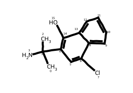 CC(C)(N)c1cc(Cl)c2ccccc2c1O